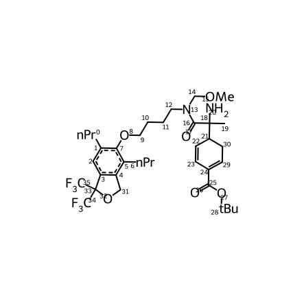 CCCc1cc2c(c(CCC)c1OCCCCN(COC)C(=O)C(C)(N)C1C=CC(C(=O)OC(C)(C)C)=CC1)COC2(C(F)(F)F)C(F)(F)F